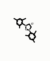 Cc1cc(C)c(N2[C+]N(c3c(C)cc(C)cc3C)CC2)c(C)c1.[Cl-]